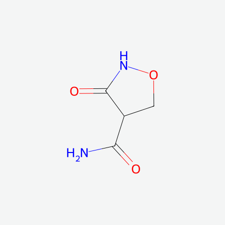 NC(=O)C1CONC1=O